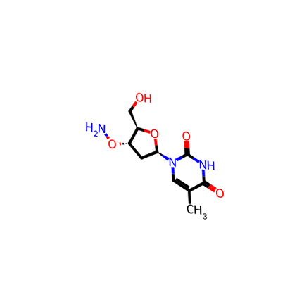 Cc1cn([C@H]2C[C@H](ON)[C@@H](CO)O2)c(=O)[nH]c1=O